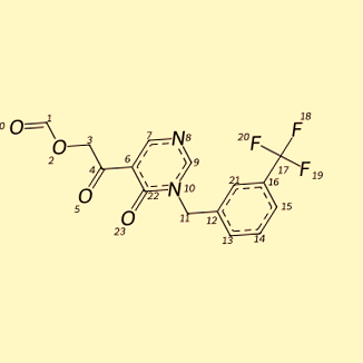 O=COCC(=O)c1cncn(Cc2cccc(C(F)(F)F)c2)c1=O